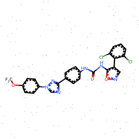 O=C(Nc1ccc(-c2ncn(-c3ccc(OC(F)(F)F)cc3)n2)cc1)Nc1oncc1-c1c(Cl)cccc1Cl